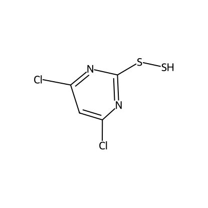 SSc1nc(Cl)cc(Cl)n1